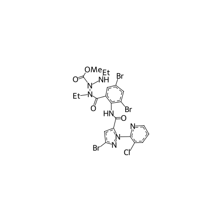 CCNN(C(=O)OC)N(CC)C(=O)c1cc(Br)cc(Br)c1NC(=O)c1cc(Br)nn1-c1ncccc1Cl